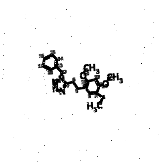 CCc1cc(CCc2nnnn2Cc2ccccc2)c(OC)cc1OC